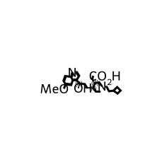 COc1ccc2nccc([C@H](O)CC[C@@H]3CCN(CCC4CCC4)C[C@@H]3CC(=O)O)c2c1